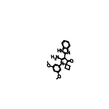 COc1cc(OC)cc(N2C(N)=C(c3nc4ccccc4[nH]3)C(=O)C23CCC3)c1